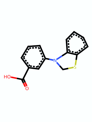 O=C(O)c1cccc(N2CSc3ccccc32)c1